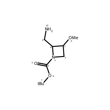 COC1CN(C(=O)OC(C)(C)C)C1CN